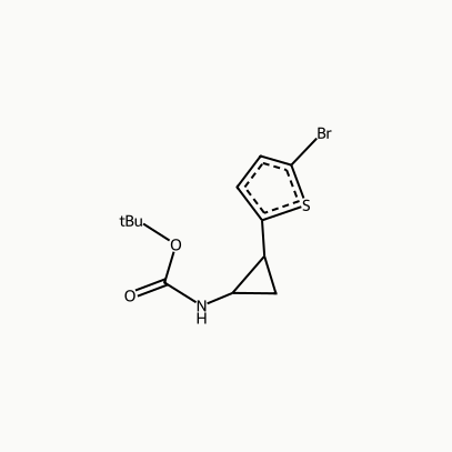 CC(C)(C)OC(=O)NC1CC1c1ccc(Br)s1